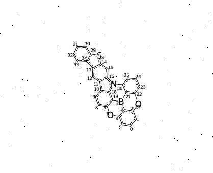 c1cc2c3c(c1)Oc1ccc4c5cc6c(cc5n5c4c1B3c1c(cccc1-5)O2)sc1ccccc16